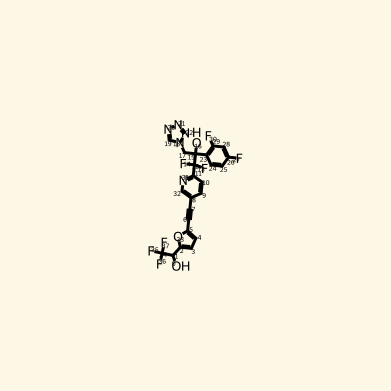 OC(c1ccc(C#Cc2ccc(C(F)(F)C(O)(Cn3cnnn3)c3ccc(F)cc3F)nc2)o1)C(F)(F)F